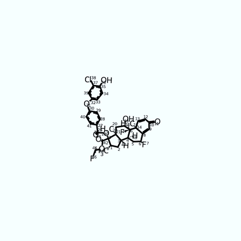 C[C@@H]1C[C@H]2[C@@H]3C[C@H](F)C4=CC(=O)C=C[C@]4(C)[C@@]3(F)[C@@H](O)C[C@]2(C)[C@@]1(OC(=O)c1ccc(Oc2ccc(O)c(Cl)c2)cc1)C(=O)OCF